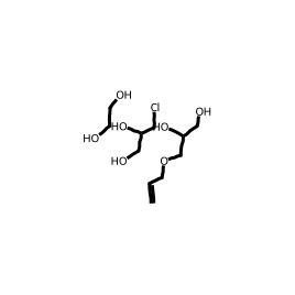 C=CCOCC(O)CO.OCC(O)CCl.OCCO